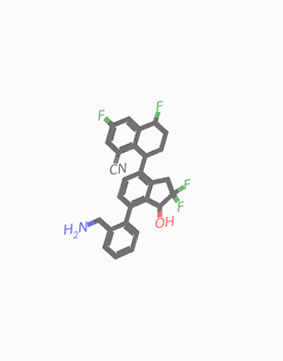 N#Cc1cc(F)cc2c1C(c1ccc(-c3ccccc3CN)c3c1CC(F)(F)C3O)CCC2F